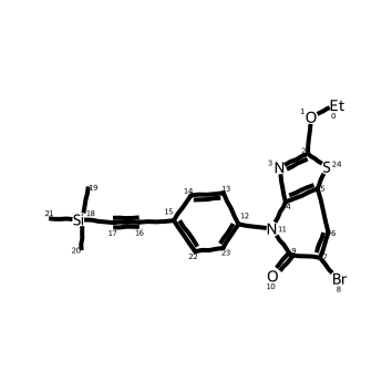 CCOc1nc2c(cc(Br)c(=O)n2-c2ccc(C#C[Si](C)(C)C)cc2)s1